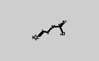 C=CCSC(=S)Cl